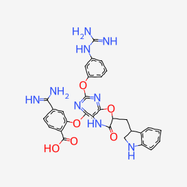 N=C(N)Nc1cccc(Oc2nc(Oc3cc(C(=N)N)ccc3C(=O)O)c3c(n2)OC(CC2CNc4ccccc42)C(=O)N3)c1